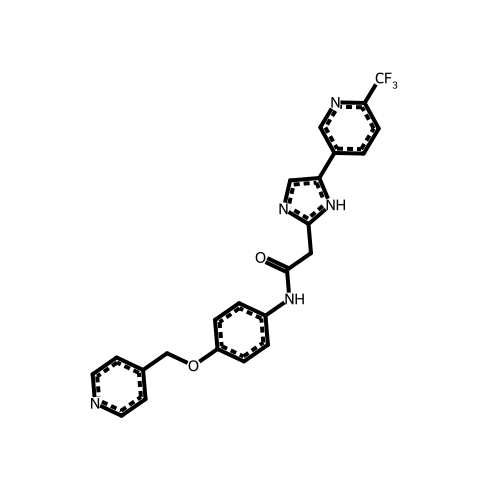 O=C(Cc1ncc(-c2ccc(C(F)(F)F)nc2)[nH]1)Nc1ccc(OCc2ccncc2)cc1